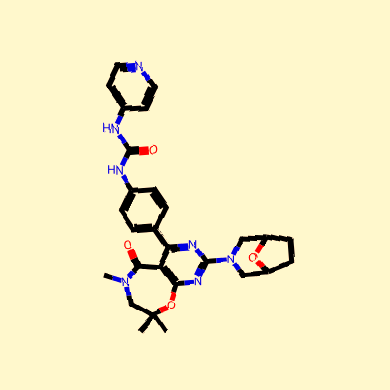 CN1CC(C)(C)Oc2nc(N3CC4CCC(C3)O4)nc(-c3ccc(NC(=O)Nc4ccncc4)cc3)c2C1=O